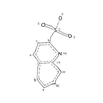 [O]S(=O)(=O)c1ccc2ccccc2n1